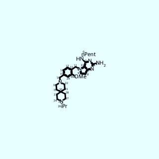 CCCCCNc1nc(N)nc2ccn(Cc3ccc(CN4CCC5(CC4)CCN(C(C)C)CC5)cc3OC)c12